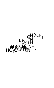 CCOc1cc(C(=O)Nc2cc(C(F)(F)F)ccn2)ccc1-c1nc([C@H]2CC[C@@](C)(C(=O)O)C2(C)C)n2ccnc(N)c12